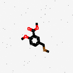 COC(=O)c1cc(CSC)ccc1OC